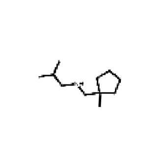 CC(C)CNCC1(C)CCCC1